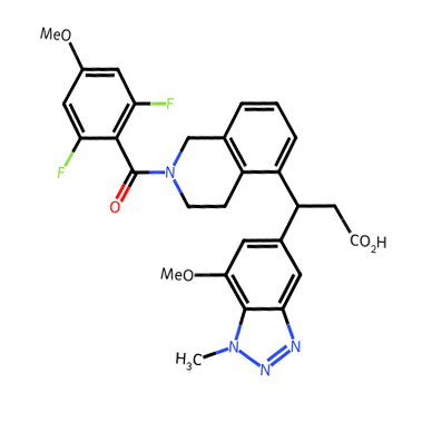 COc1cc(F)c(C(=O)N2CCc3c(cccc3C(CC(=O)O)c3cc(OC)c4c(c3)nnn4C)C2)c(F)c1